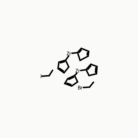 C1=CC[C]([Zr][C]2=CC=CC2)=C1.C1=CC[C]([Zr][C]2=CC=CC2)=C1.CCBr.CCI